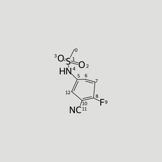 CS(=O)(=O)Nc1ccc(F)c(C#N)c1